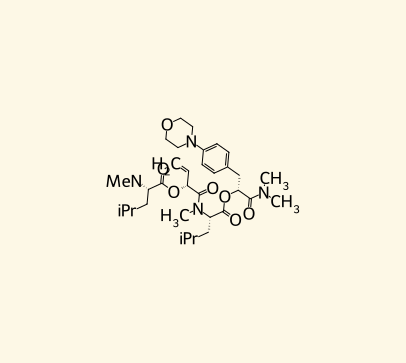 C=C[C@@H](OC(=O)[C@H](CC(C)C)NC)C(=O)N(C)[C@@H](CC(C)C)C(=O)O[C@H](Cc1ccc(N2CCOCC2)cc1)C(=O)N(C)C